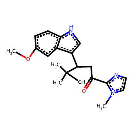 COc1ccc2[nH]cc(C(CC(=O)c3nccn3C)C(C)(C)C)c2c1